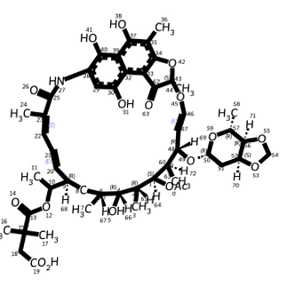 CC(=O)O[C@H]1[C@H](C)[C@H](O)[C@H](C)C[C@@H](C(C)OC(=O)C(C)(C)CC(=O)O)/C=C/C=C(/C)C(=O)Nc2cc(O)c3c4c(c(C)c(O)c3c2O)O[C@](C)(O/C=C/[C@H](O[C@H]2C[C@@H]3OCO[C@@H]3[C@@H](C)O2)[C@H]1C)C4=O